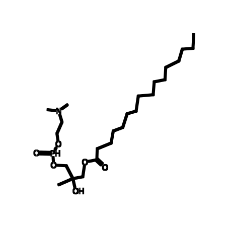 CCCCCCCCCCCCCCCC(=O)OCC(C)(O)CO[PH](=O)OCCN(C)C